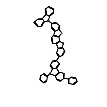 c1ccc(-c2ccc3c(c2)c2cc(-c4ccc5sc6c(ccc7c8cc(-n9c%10ccccc%10c%10ccccc%109)ccc8sc76)c5c4)ccc2n3-c2ccccc2)cc1